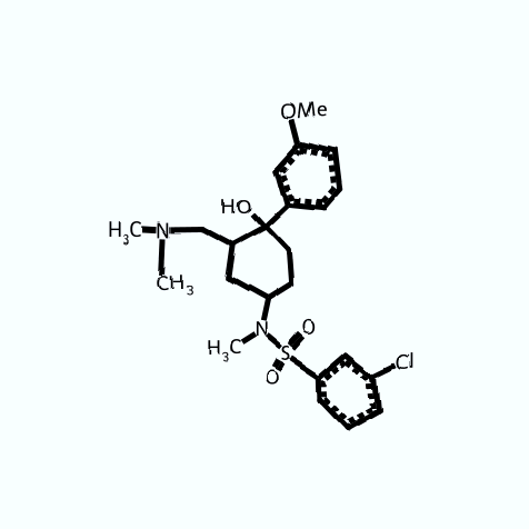 COc1cccc(C2(O)CCC(N(C)S(=O)(=O)c3cccc(Cl)c3)CC2CN(C)C)c1